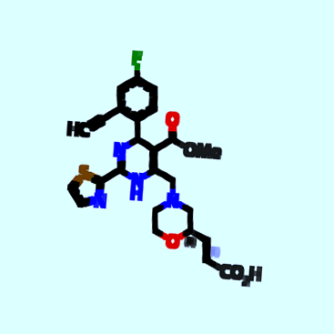 C#Cc1cc(F)ccc1C1N=C(c2nccs2)NC(CN2CCO[C@H](/C=C/C(=O)O)C2)=C1C(=O)OC